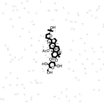 CC(=O)O[C@H]1C[C@@H]2[C@@H]([C@]3(C)CC[C@H](C(C)(C)O)O3)CC[C@@]2(C)[C@]2(C)CC[C@H]3C(C)(C)[C@@H](O[C@@H]4[C@@H](O)[C@H](O)[C@@H](CO)O[C@H]4O)CC[C@]3(C)[C@@H]12